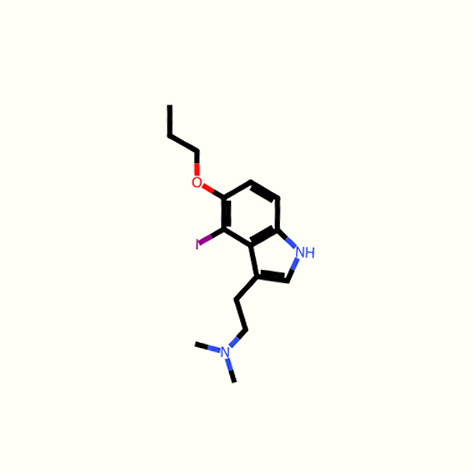 CCCOc1ccc2[nH]cc(CCN(C)C)c2c1I